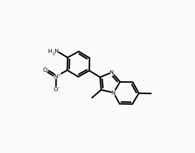 Cc1ccn2c(C)c(-c3ccc(N)c([N+](=O)[O-])c3)nc2c1